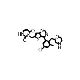 Cc1cc(Cl)cc(-c2ncnc3cc(Cn4c(=O)cc[nH]c4=O)sc23)c1CC1CNCCO1